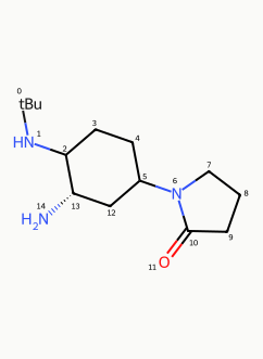 CC(C)(C)NC1CCC(N2CCCC2=O)C[C@@H]1N